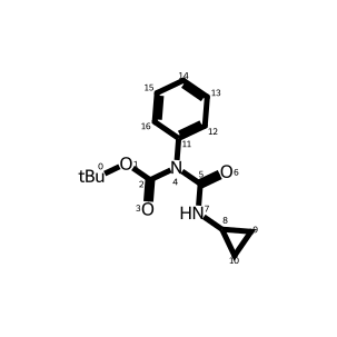 CC(C)(C)OC(=O)N(C(=O)NC1CC1)c1ccccc1